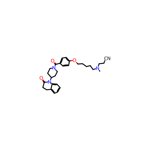 CN(CCC#N)CCCCCOc1ccc(C(=O)N2CCC(N3C(=O)CCc4ccccc43)CC2)cc1